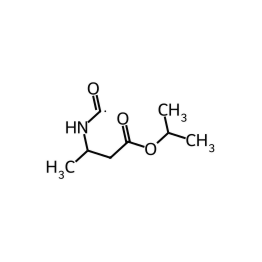 CC(CC(=O)OC(C)C)N[C]=O